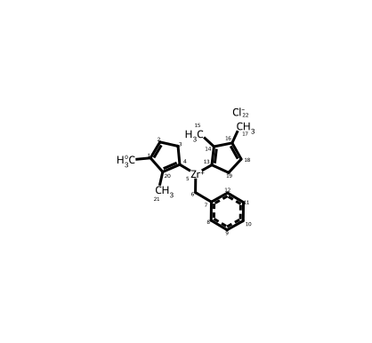 CC1=CC[C]([Zr+]([CH2]c2ccccc2)[C]2=C(C)C(C)=CC2)=C1C.[Cl-]